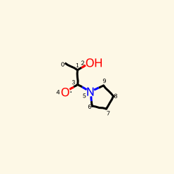 CC(O)C([O])N1CCCC1